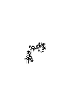 Cc1ccc(C(=O)N2CCOC3(CCN(Cc4ccc(F)c(CCNC[C@H](O)c5ccc(O)c6[nH]c(=O)sc56)c4F)CC3)C2)s1